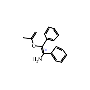 C=C(C)O/C(=C(\N)c1ccccc1)c1ccccc1